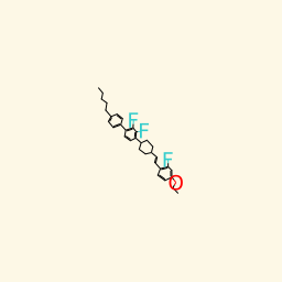 CCCCCc1ccc(-c2ccc(C3CCC(/C=C/c4ccc(OCC)cc4F)CC3)c(F)c2F)cc1